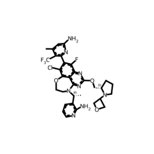 Cc1cc(N)nc(-c2c(Cl)c3c4c(nc(OC[C@@H]5CCCN5C5COC5)nc4c2F)N([C@H](C)c2cccnc2N)CCO3)c1C(F)(F)F